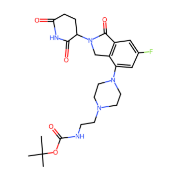 CC(C)(C)OC(=O)NCCN1CCN(c2cc(F)cc3c2CN(C2CCC(=O)NC2=O)C3=O)CC1